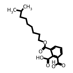 CC(C)CCCCCCCOC(=O)c1cccc(C(=O)O)c1C(=O)O